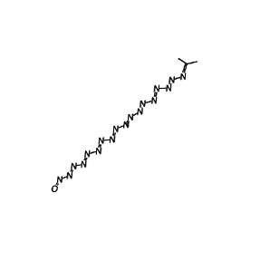 CC(C)=NN=NN=NN=NN=NN=NN=NN=NN=NN=O